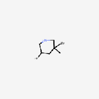 CC(C)C1CNCC(C)(C(C)C)C1